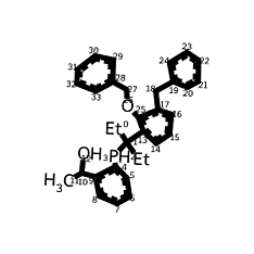 CCC(CC)(Pc1ccccc1C(C)O)c1cccc(Cc2ccccc2)c1OCc1ccccc1